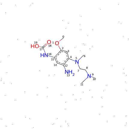 COc1cc(N(C)CCN(C)C)c(N)cc1NC(=O)O